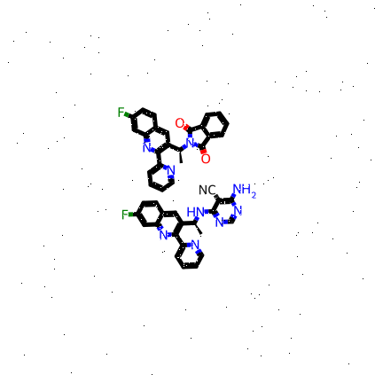 C[C@@H](c1cc2ccc(F)cc2nc1-c1ccccn1)N1C(=O)c2ccccc2C1=O.C[C@H](Nc1ncnc(N)c1C#N)c1cc2ccc(F)cc2nc1-c1ccccn1